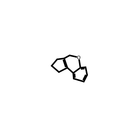 c1ccc2c(c1)OCC1=C2CCC1